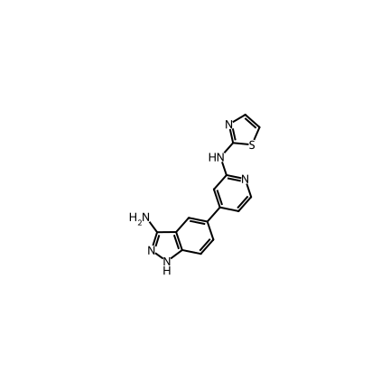 Nc1n[nH]c2ccc(-c3ccnc(Nc4nccs4)c3)cc12